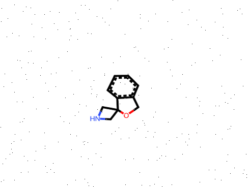 [c]1ccc2c(c1)COC21CNC1